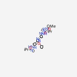 COC(=O)N[C@H](C(=O)N1CCC[C@H]1c1nc2cc(-c3ncc(-c4ccc5[nH]c([C@@H]6CCCN6C(=O)CC(C)C)nc5c4)c(OCc4ccccc4)n3)ccc2[nH]1)C(C)C